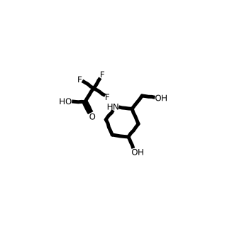 O=C(O)C(F)(F)F.OCC1CC(O)CCN1